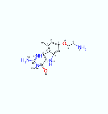 Cc1cc(OCCN)cc2[nH]c(C(=O)N(C)C(=N)N)cc12